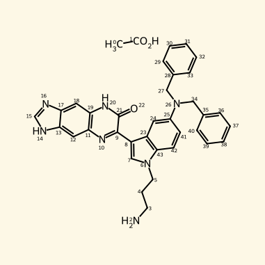 CC(=O)O.NCCCn1cc(-c2nc3cc4[nH]cnc4cc3[nH]c2=O)c2cc(N(Cc3ccccc3)Cc3ccccc3)ccc21